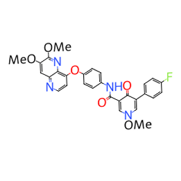 COc1cc2nccc(Oc3ccc(NC(=O)c4cn(OC)cc(-c5ccc(F)cc5)c4=O)cc3)c2nc1OC